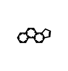 C1=Cc2ccc3c(ccc4ccccc43)c2C1